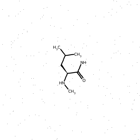 CN[C@@H](CC(C)C)C([NH])=O